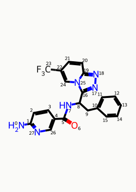 Nc1ccc(C(=O)NC(Cc2ccccc2)c2nnc3ccc(C(F)(F)F)cn23)cn1